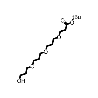 CC(C)(C)OC(=O)CCOCCCOCCCOCCCO